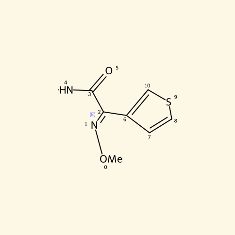 CO/N=C(/C([NH])=O)c1ccsc1